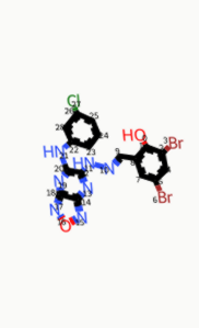 Oc1c(Br)cc(Br)cc1C=NNc1nc2nonc2nc1Nc1cccc(Cl)c1